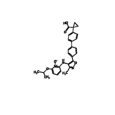 Cc1noc(-c2ccc(-c3ccc(C4(C(=O)O)CC4)cc3)cc2)c1Nc1cccc(OC(C)C)[n+]1[O-]